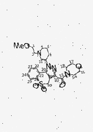 COCCN1CCCC(n2nc(C(=O)N3CCOCC3)c3c2-c2ccccc2S(=O)(=O)C3)C1